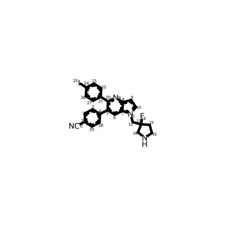 N#Cc1ccc(-c2cc3c(ccn3CC3(F)CCNC3)nc2-c2ccc(I)cc2)cc1